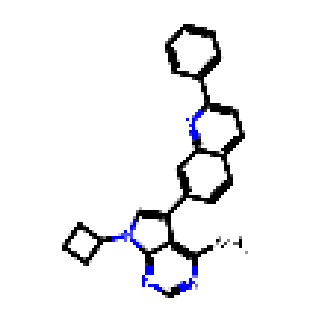 [AsH2]c1ncnc2c1c(-c1ccc3ccc(-c4ccccc4)nc3c1)cn2C1CCC1